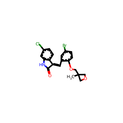 CC1(COc2ccc(Br)cc2/C=C2/C(=O)Nc3cc(Cl)ccc32)COC1